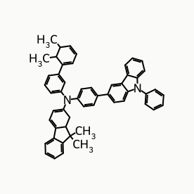 CC1C=CC=C(c2cccc(N(C3=CC=C4c5ccccc5C(C)(C)C4C3)c3ccc(-c4ccc5c(c4)c4ccccc4n5-c4ccccc4)cc3)c2)C1C